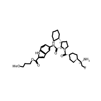 COCCCOC(=O)c1cc2cc(NC(=O)[C@@H]3[C@H](C4CCCCC4)CCN3C(=O)[C@H]3CC[C@H]([C@H](N)CF)CC3)ccc2[nH]1